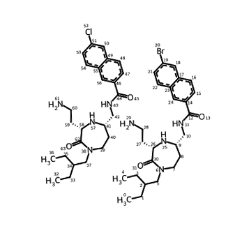 CCC(CC)CN1CC[C@@H](CNC(=O)c2ccc3cc(Br)ccc3c2)N[C@@H](CCN)C1=O.CCC(CC)CN1CC[C@@H](CNC(=O)c2ccc3cc(Cl)ccc3c2)N[C@@H](CCN)C1=O